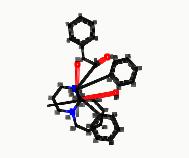 O=C(Cc1ccccc1)C1(c2ccccc2)C(=O)C(c2ccccc2)C23CCCCCN2CCCN3C1=O